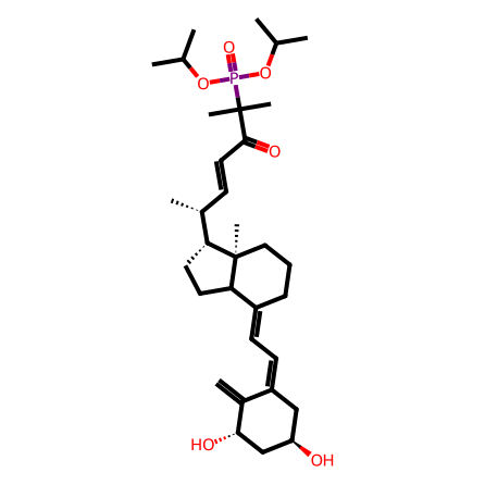 C=C1C(=CC=C2CCC[C@@]3(C)C2CC[C@@H]3[C@H](C)C=CC(=O)C(C)(C)P(=O)(OC(C)C)OC(C)C)C[C@@H](O)C[C@@H]1O